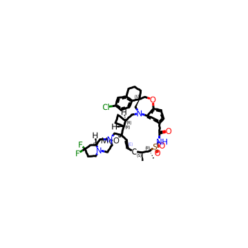 CO[C@]1(CN2CCN3CCC(F)(F)C[C@@H]3C2)/C=C/C[C@H](C)[C@@H](C)S(=O)(=O)NC(=O)c2ccc3c(c2)N(C[C@@H]2CC[C@H]21)C[C@@]1(CCCc2cc(Cl)ccc21)CO3